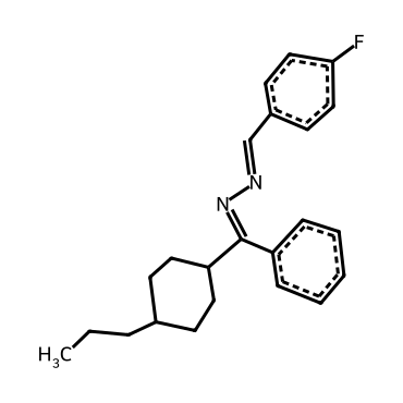 CCCC1CCC(C(=NN=Cc2ccc(F)cc2)c2ccccc2)CC1